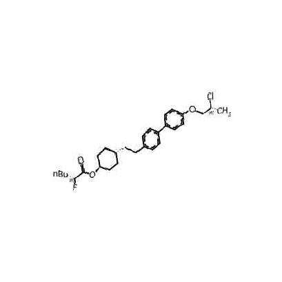 CCCC[C@@H](F)C(=O)O[C@H]1CC[C@H](CCc2ccc(-c3ccc(OC[C@@H](C)Cl)cc3)cc2)CC1